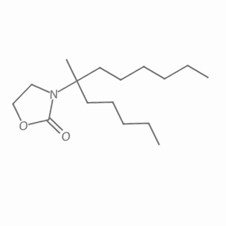 CCCCCCC(C)(CCCCC)N1CCOC1=O